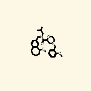 COc1ccccc1CN1CCOC(C(=O)N(Cc2ccc3c(c2)C(OC)CCCC3)CC(C)C)C1